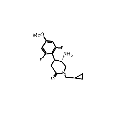 COc1cc(F)c(C2CC(=O)N(CC3CC3)C[C@H]2N)c(F)c1